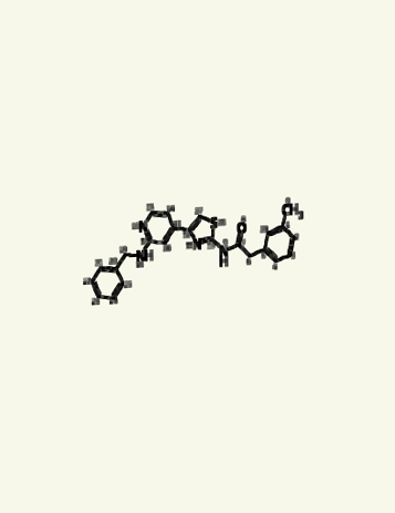 Cc1cccc(CC(=O)Nc2nc(-c3ccnc(NCc4ccccc4)c3)cs2)c1